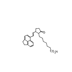 O=C(O)CCCCCCC1C(=O)CCC1C=Cc1ccc2c3c(cccc13)CC2